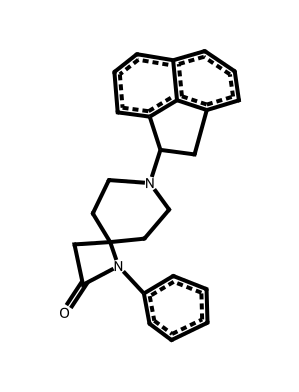 O=C1CC2(CCN(C3Cc4cccc5cccc3c45)CC2)N1c1ccccc1